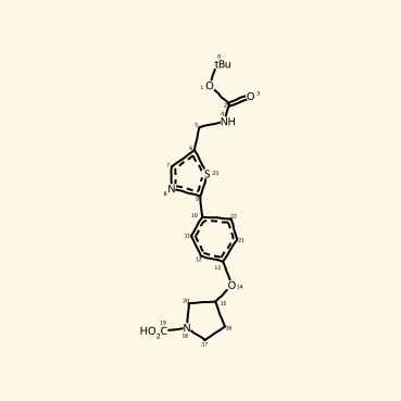 CC(C)(C)OC(=O)NCc1cnc(-c2ccc(OC3CCN(C(=O)O)C3)cc2)s1